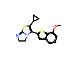 COc1cccc2cc(C3=C(C4CC4)SC4=NCCN43)sc12